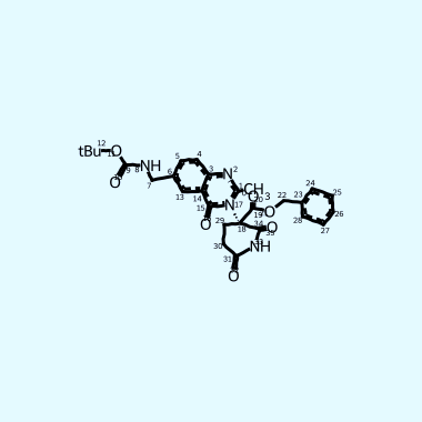 Cc1nc2ccc(CNC(=O)OC(C)(C)C)cc2c(=O)n1[C@@]1(C(=O)OCc2ccccc2)CCC(=O)NC1=O